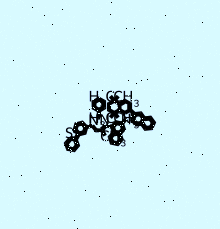 CC1=C(c2cc(N3c4cc5ccccc5cc4C4=CC=C5C(C43)C(C)(C)CCC5(C)C)cc3ccccc23)N=C(c2ccccc2)N=C(c2ccc3sc4ccccc4c3c2)C1